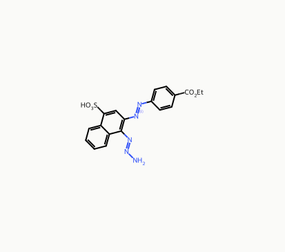 CCOC(=O)c1ccc(/N=N/c2cc(S(=O)(=O)O)c3ccccc3c2N=NN)cc1